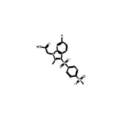 Cc1c(S(=O)(=O)c2ccc(S(C)(=O)=O)cc2)c2ccc(F)cc2n1CC(=O)O